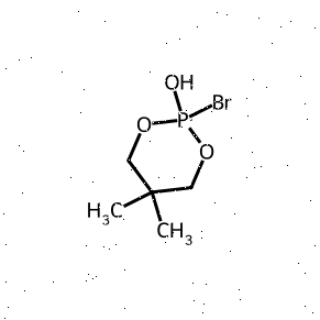 CC1(C)CO[P](O)(Br)OC1